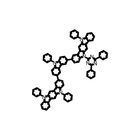 c1ccc(-c2nc(-c3ccccc3)nc(-n3c4ccc(-c5ccc6c(c5)c5cc(-c7ccc8c(c7)c7cc9c(cc7n8-c7ccccc7)c7ccccc7n9-c7ccccc7)ccc5n6-c5ccccc5)cc4c4cc5c(cc43)c3ccccc3n5-c3ccccc3)n2)cc1